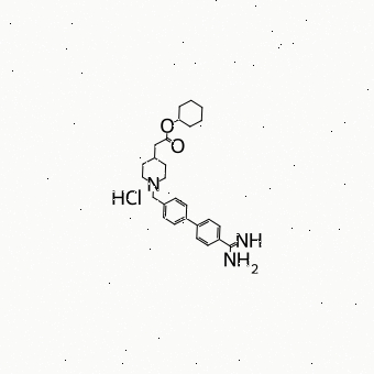 Cl.N=C(N)c1ccc(-c2ccc(CN3CCC(CC(=O)OC4CCCCC4)CC3)cc2)cc1